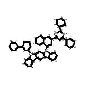 c1ccc(-c2cccc(-n3c4ccccc4c4cc5c6ccccc6n(-c6cc(-c7cc(-c8ccccc8)nc(-c8ccccc8)n7)cc7ccccc67)c5cc43)c2)cc1